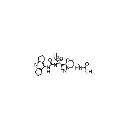 CC(=O)NCC1COc2c(S(N)(=O)=NC(=O)Nc3c4c(nc5c3CCC5)CCC4)cnn2C1